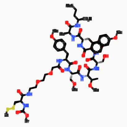 CCSSC[C@H](NC(=O)OC(C)C)C(=O)NCCOCCOCC(=O)N[C@@H](Cc1ccc(OC(C)(C)C)cc1)C(=O)N[C@@H](COC(C)(C)C)C(=O)N[C@H](C(=O)N[C@@H](CO)C(=O)N[C@@H](Cc1ccc(OC(C)(C)C)cc1)C(=O)N[C@@H](Cc1ccccc1)C(=O)N[C@H](C(=O)N[C@@H](CCSC)C(=O)O)C(C)CC)C(C)OC(C)(C)C